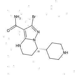 NC(=O)c1c(Br)nn2c1NCC[C@H]2C1CCNCC1